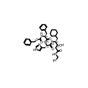 CC(C)CNC(=O)C[C@H](O)[C@H](CC1CCCCC1)NC(=O)[C@H](Cc1c[nH]cn1)NC(=O)[C@H](Cc1ccccc1)NC(=O)OCc1ccccc1